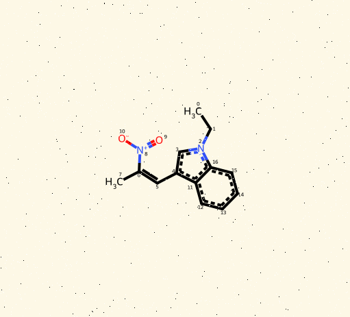 CCn1cc(C=C(C)[N+](=O)[O-])c2ccccc21